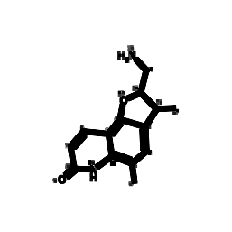 Cc1cc2c(c3ccc(=O)[nH]c13)OC(CN)C2C